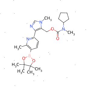 Cc1nc(-c2ncn(C)c2COC(=O)N(C)C2CCCC2)ccc1B1OC(C)(C)C(C)(C)O1